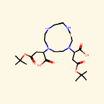 CC(C)(C)OC(=O)CC(C(=O)O)N1CCNCCNCCN(C(CC(=O)OC(C)(C)C)C(=O)O)CC1